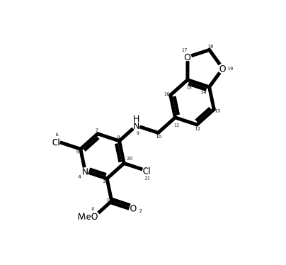 COC(=O)c1nc(Cl)cc(NCc2ccc3c(c2)OCO3)c1Cl